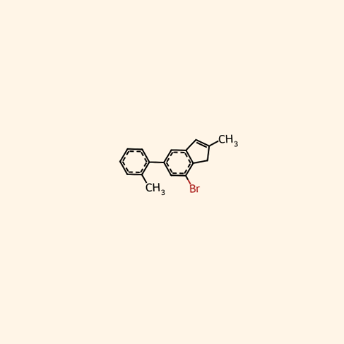 CC1=Cc2cc(-c3ccccc3C)cc(Br)c2C1